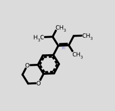 CC/C(C)=C(/c1ccc2c(c1)OCCO2)C(C)C